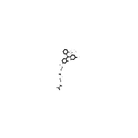 C=C(C)C(=O)OCCNC(=O)OCCN(CC)c1ccc2c(-c3ccccc3S(=O)(=O)NS(=O)(=O)C(F)(F)F)c3ccc(=[N+](CC)CC)cc-3oc2c1